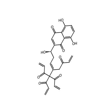 C=CC(=O)CC(=CC[C@@H](O)C1=CC(=O)c2c(O)ccc(O)c2C1=O)C(C(=O)C=C)(C(=O)C=C)C(=O)C=C